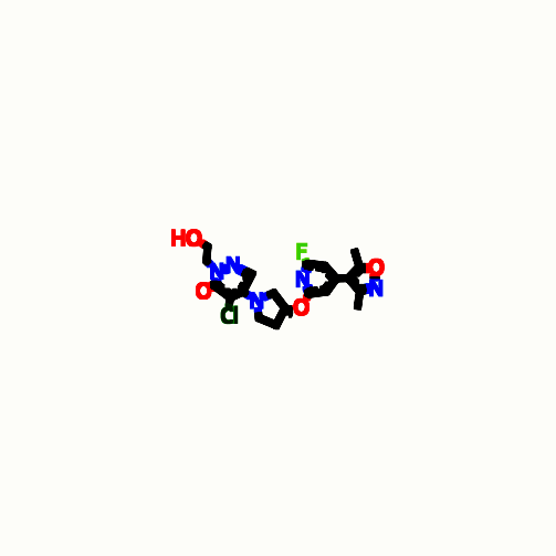 Cc1noc(C)c1-c1cc(F)nc(O[C@@H]2CCN(c3cnn(CCO)c(=O)c3Cl)C2)c1